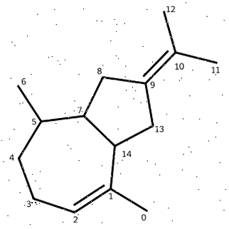 CC1=C[C]CC(C)C2CC(=C(C)C)CC12